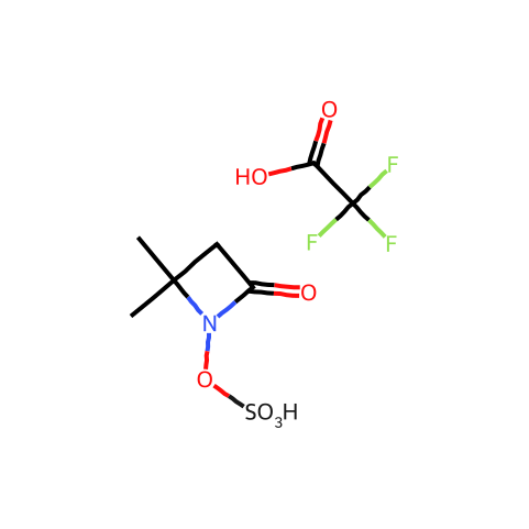 CC1(C)CC(=O)N1OS(=O)(=O)O.O=C(O)C(F)(F)F